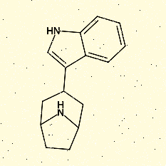 c1ccc2c(C3CC4CCC(C3)N4)c[nH]c2c1